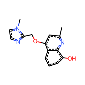 Cc1cc(OCc2nccn2C)c2cccc(O)c2n1